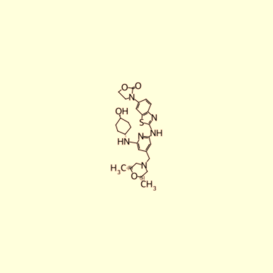 C[C@@H]1CN(Cc2cc(Nc3nc4ccc(N5CCOC5=O)cc4s3)nc(N[C@H]3CC[C@H](O)CC3)c2)C[C@H](C)O1